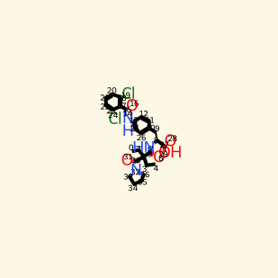 CCC(CC)(C(=O)N[C@@H](Cc1ccc(NC(=O)c2c(Cl)cccc2Cl)cc1)C(=O)O)C(=O)N1CCCC1